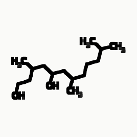 CC(C)CCCC(C)CC(O)CC(C)CCO